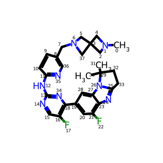 CN1CC2(C1)CN(Cc1ccc(Nc3ncc(F)c(-c4cc(F)c5nc6n(c5c4)C(C)(C)CC6)n3)nc1)C2